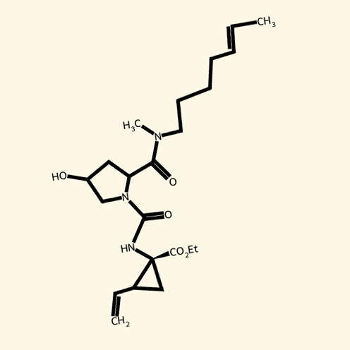 C=CC1C[C@]1(NC(=O)N1CC(O)CC1C(=O)N(C)CCCC/C=C/C)C(=O)OCC